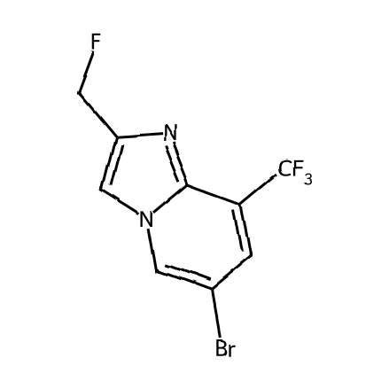 FCc1cn2cc(Br)cc(C(F)(F)F)c2n1